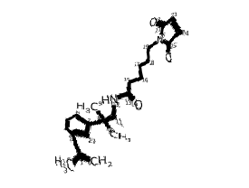 C=C(C)c1cccc(C(C)(C)CNC(=O)CCCCCN2C(=O)C=CC2=O)c1